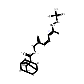 C=C(/C=C\C=C(/C)NSC(F)(F)F)COC(=O)C12CC3CC(CC(C3)C1)C2